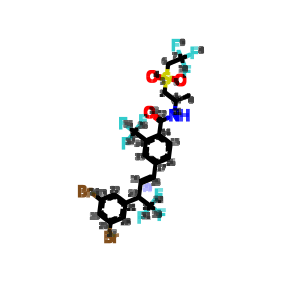 C[C@H](CS(=O)(=O)CC(F)(F)F)NC(=O)c1ccc(/C=C/C(c2cc(Br)cc(Br)c2)C(F)(F)F)cc1C(F)(F)F